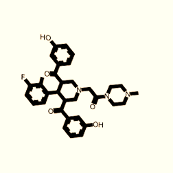 Cc1c(F)cccc1C1C(C(=O)c2cccc(O)c2)CN(CC(=O)N2CCN(C)CC2)CC1C(=O)c1cccc(O)c1